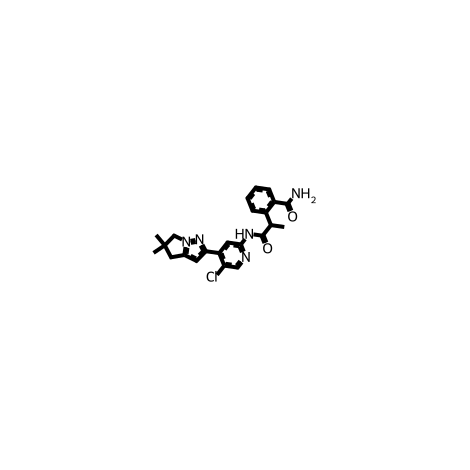 CC(C(=O)Nc1cc(-c2cc3n(n2)CC(C)(C)C3)c(Cl)cn1)c1ccccc1C(N)=O